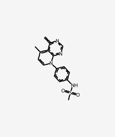 C=c1ncnc2c1=C(C)C=CN2c1ccc(NS(C)(=O)=O)cc1